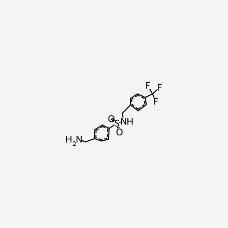 NCc1ccc(S(=O)(=O)NCc2ccc(C(F)(F)F)cc2)cc1